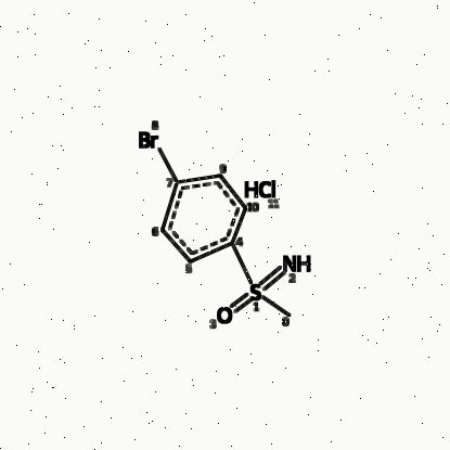 CS(=N)(=O)c1ccc(Br)cc1.Cl